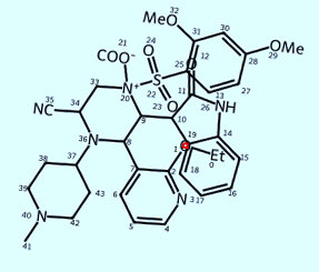 CCOc1ncccc1C1C(C2C(=O)Nc3ccccc32)[N+](C(=O)[O-])(S(=O)(=O)c2ccc(OC)cc2OC)CC(C#N)N1C1CCN(C)CC1